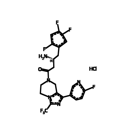 Cl.N[C@@H](CC(=O)N1CCn2c(C(F)(F)F)nc(-c3ccc(F)nc3)c2C1)Cc1cc(F)c(F)cc1F